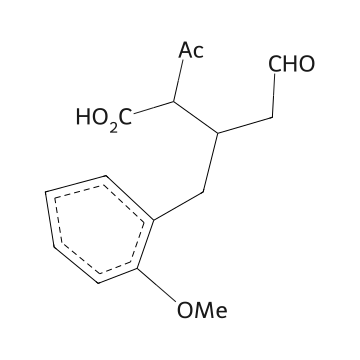 COc1ccccc1CC(CC=O)C(C(C)=O)C(=O)O